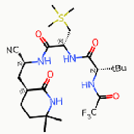 CC1(C)CC[C@@H](C[C@@H](C#N)NC(=O)[C@H](CS(C)(C)C)NC(=O)[C@@H](NC(=O)C(F)(F)F)C(C)(C)C)C(=O)N1